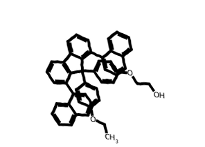 CCOc1ccc(C2(c3ccc(OCCO)cc3)c3c(cccc3-c3cccc4ccccc34)-c3cccc(-c4cccc5ccccc45)c32)cc1